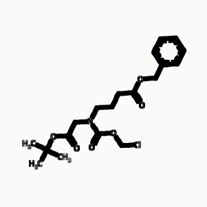 CC(C)(C)OC(=O)CN(CCCC(=O)OCc1ccccc1)C(=O)OCCl